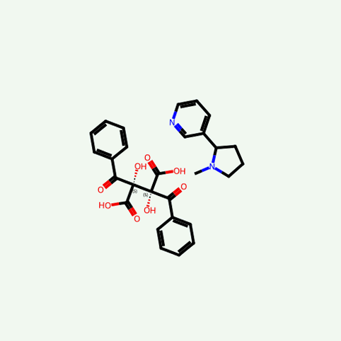 CN1CCCC1c1cccnc1.O=C(O)[C@@](O)(C(=O)c1ccccc1)[C@@](O)(C(=O)O)C(=O)c1ccccc1